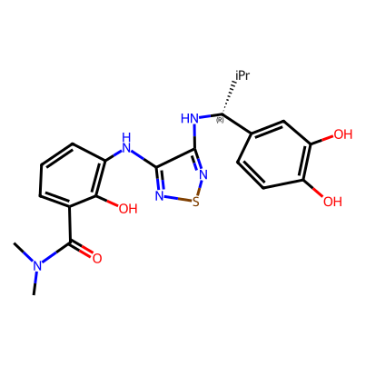 CC(C)[C@@H](Nc1nsnc1Nc1cccc(C(=O)N(C)C)c1O)c1ccc(O)c(O)c1